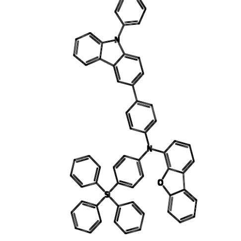 c1ccc(-n2c3ccccc3c3cc(-c4ccc(N(c5ccc([Si](c6ccccc6)(c6ccccc6)c6ccccc6)cc5)c5cccc6c5oc5ccccc56)cc4)ccc32)cc1